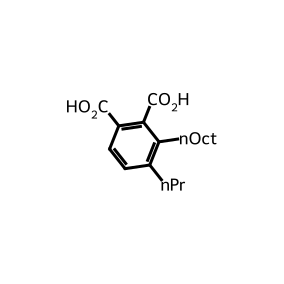 CCCCCCCCc1c(CCC)ccc(C(=O)O)c1C(=O)O